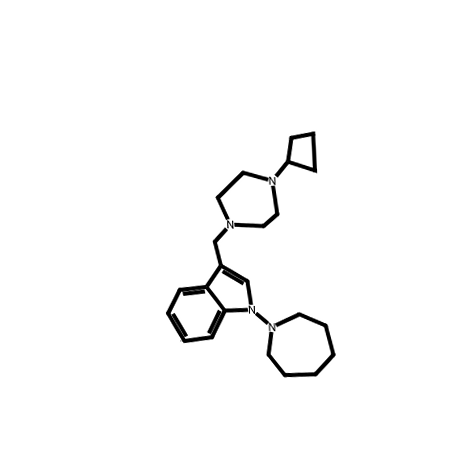 [c]1ccc2c(CN3CCN(C4CCC4)CC3)cn(N3CCCCCC3)c2c1